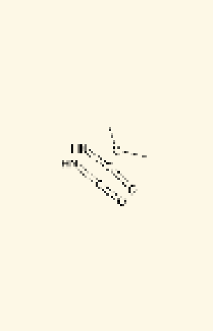 COC.N=C=O.N=C=O